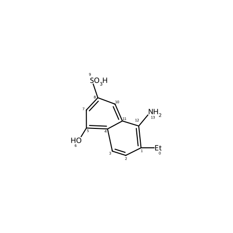 CCc1ccc2c(O)cc(S(=O)(=O)O)cc2c1N